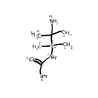 CC(C)C(=O)NS(C)(C)C(C)(C)N